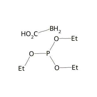 BC(=O)O.CCOP(OCC)OCC